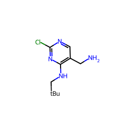 CC(C)(C)CNc1nc(Cl)ncc1CN